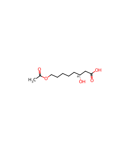 CC(=O)OCCCCC[C@@H](O)CC(=O)O